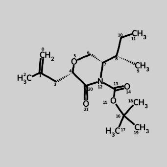 C=C(C)C[C@@H]1OC[C@H]([C@@H](C)CC)N(C(=O)OC(C)(C)C)C1=O